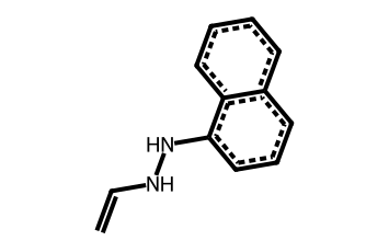 C=CNNc1cccc2ccccc12